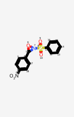 O=[N+]([O-])c1ccc(C2ON2S(=O)(=O)c2ccccc2)cc1